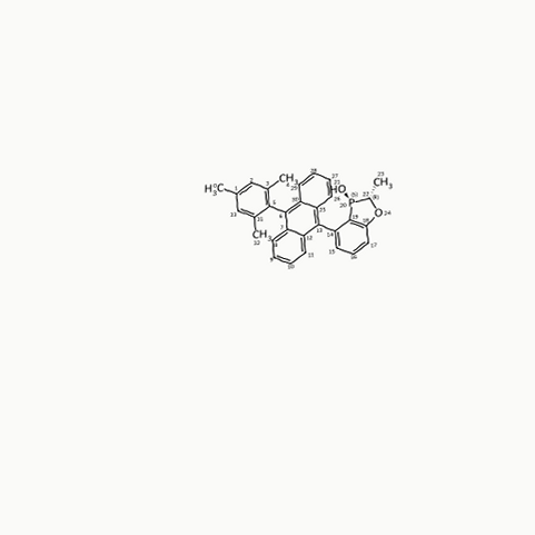 Cc1cc(C)c(-c2c3ccccc3c(-c3cccc4c3[P@@](O)[C@H](C)O4)c3ccccc23)c(C)c1